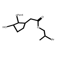 CCCCCC1C(O)CCC1CC(=O)OCC(C)C(C)C